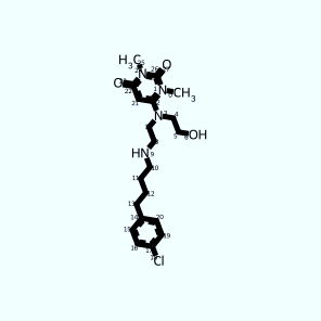 Cn1c(N(CCO)CCNCCCCc2ccc(Cl)cc2)cc(=O)n(C)c1=O